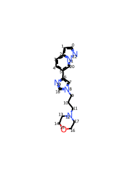 c1cc2ccc(-c3cn(CCCN4CCOCC4)cn3)cn2n1